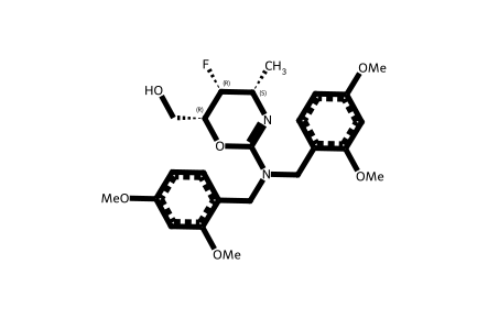 COc1ccc(CN(Cc2ccc(OC)cc2OC)C2=N[C@@H](C)[C@@H](F)[C@@H](CO)O2)c(OC)c1